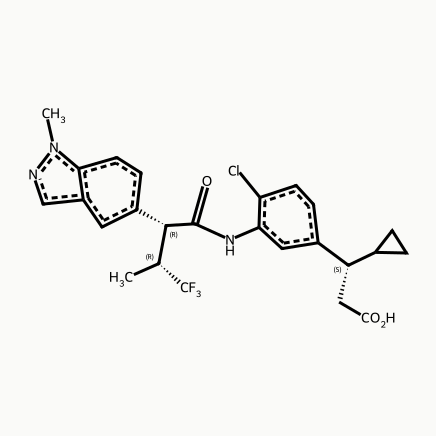 C[C@H]([C@@H](C(=O)Nc1cc([C@@H](CC(=O)O)C2CC2)ccc1Cl)c1ccc2c(cnn2C)c1)C(F)(F)F